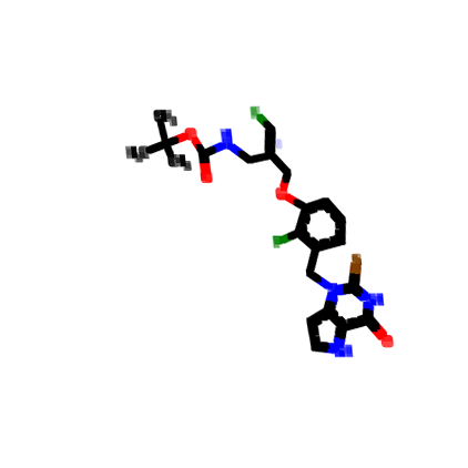 CC(C)(C)OC(=O)NC/C(=C\F)COc1cccc(Cn2c(=S)[nH]c(=O)c3[nH]ccc32)c1F